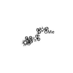 COC(=O)C(C)(C)CC(C)(C)C(=O)OCCOC(=O)CCCC(=O)N1C(=O)c2ccccc2S1(=O)=O